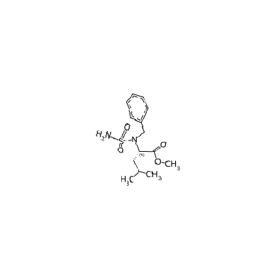 COC(=O)[C@H](CC(C)C)N(Cc1ccccc1)S(N)(=O)=O